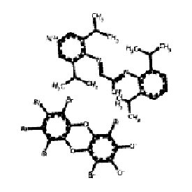 CC(C=Nc1c(C(C)C)cccc1C(C)C)=Nc1c(C(C)C)cccc1C(C)C.[Ni+2].[O-]c1c([O-])c(Br)c2c(c1Br)Oc1c(Br)c(Br)c(Br)c(Br)c1O2